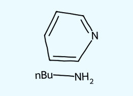 CCCCN.c1ccncc1